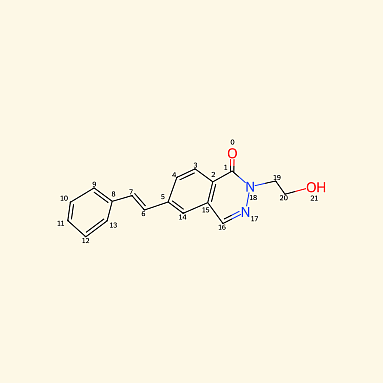 O=c1c2ccc(/C=C/c3ccccc3)cc2cnn1CCO